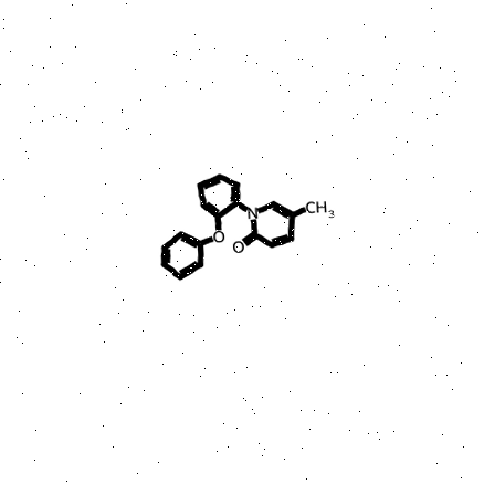 Cc1ccc(=O)n(-c2ccccc2Oc2ccccc2)c1